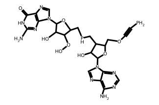 Nc1nc2c(ncn2C2OC(CPCC3C(COC#CP)OC(n4cnc5c(N)ncnc54)C3O)C(OO)C2O)c(=O)[nH]1